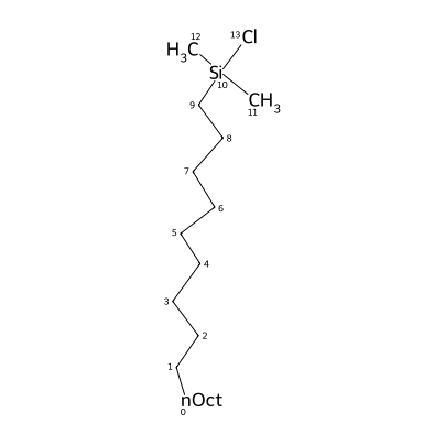 CCCCCCCCCCCCCCCCC[Si](C)(C)Cl